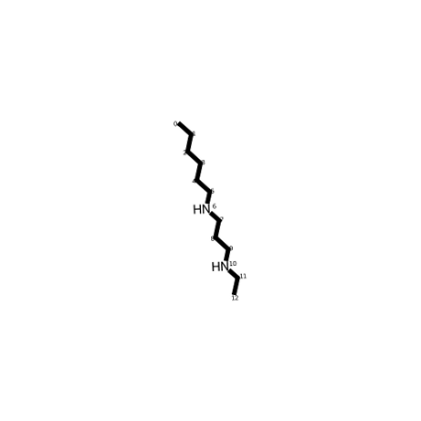 [CH2]CCCCCNCCCNCC